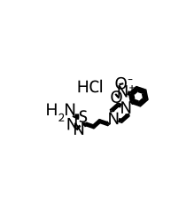 Cl.Nc1nnc(CCCN2CCN(c3ccccc3[N+](=O)[O-])CC2)s1